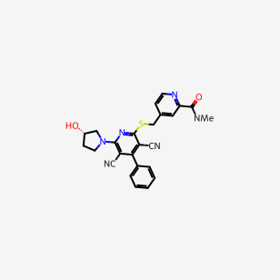 CNC(=O)c1cc(CSc2nc(N3CC[C@H](O)C3)c(C#N)c(-c3ccccc3)c2C#N)ccn1